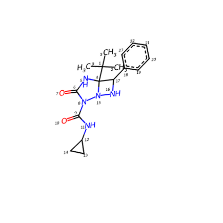 CC(C)(C)C12NC(=O)N(C(=O)NC3CC3)N1NC2c1ccccc1